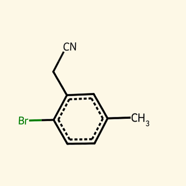 Cc1ccc(Br)c(CC#N)c1